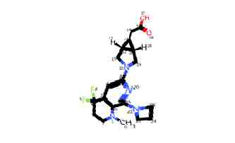 CN1CCC(F)(F)c2cc(N3C[C@@H]4[C@@H](CC(=O)O)[C@@H]4C3)nc(N3CCC3)c21